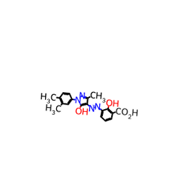 Cc1ccc(-n2nc(C)c(/N=N/c3cccc(C(=O)O)c3O)c2O)cc1C